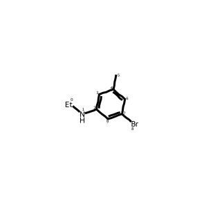 CCNc1cc(C)cc(Br)c1